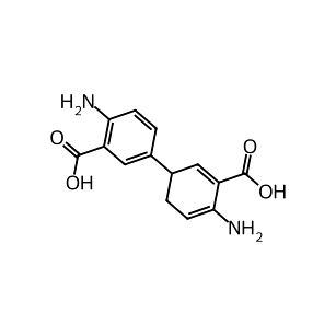 NC1=CCC(c2ccc(N)c(C(=O)O)c2)C=C1C(=O)O